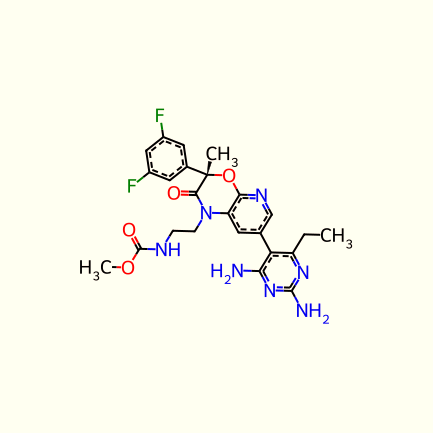 CCc1nc(N)nc(N)c1-c1cnc2c(c1)N(CCNC(=O)OC)C(=O)[C@](C)(c1cc(F)cc(F)c1)O2